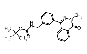 Cn1nc(-c2cccc(CNC(=O)OC(C)(C)C)c2)c2ccccc2c1=O